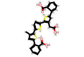 Cc1cc(-c2ccccc2C(=O)O)sc1-c1ccc(-c2sc(-c3ccccc3C(=O)O)cc2CC(=O)O)s1